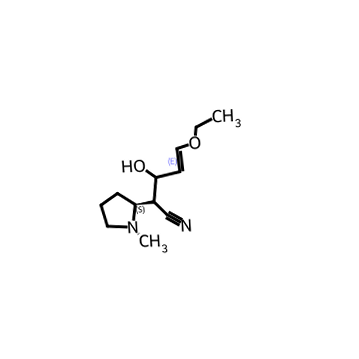 CCO/C=C/C(O)C(C#N)[C@@H]1CCCN1C